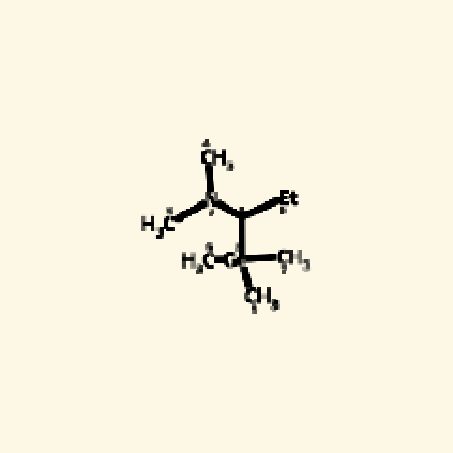 CC[CH](N(C)C)[Ge]([CH3])([CH3])[CH3]